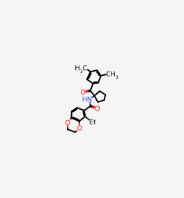 CCc1c(C(=O)NC2(C(=O)c3cc(C)cc(C)c3)CCCC2)ccc2c1OCCO2